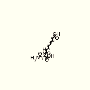 NC(=O)C[C@H](NC(=O)CCCCCCCC(=O)O)C(=O)O